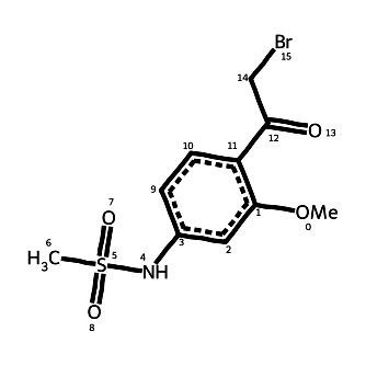 COc1cc(NS(C)(=O)=O)ccc1C(=O)CBr